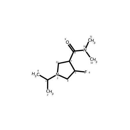 CC(C)N1CC(F)C(C(=O)N(C)C)C1